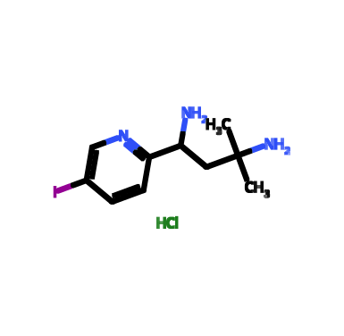 CC(C)(N)CC(N)c1ccc(I)cn1.Cl